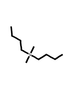 CCC[CH][Si](C)(C)CCCC